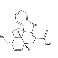 CC[C@]12C=CCN3CC[C@]4(C(=C(C(=O)OC)C1)Nc1ccccc14)[C@@H]32.OO